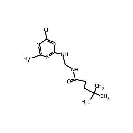 Cc1nc(Cl)nc(NCNC(=O)CCC(C)(C)C)n1